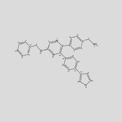 NCc1ccc(-c2ncc(OCc3ccncc3)nc2-c2ccc(-c3ccoc3)cc2)cc1